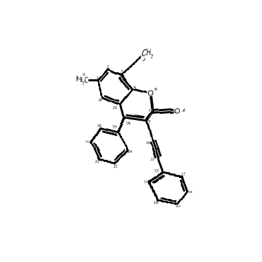 Cc1cc(C)c2oc(=O)c(C#Cc3ccccc3)c(-c3ccccc3)c2c1